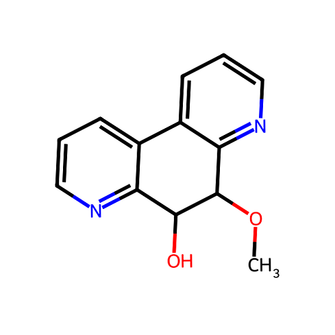 COC1c2ncccc2-c2cccnc2C1O